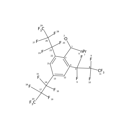 CCCC([O])c1c(C(F)(F)C(F)(F)C(F)(F)F)cc(C(F)(F)C(F)(F)C(F)(F)F)cc1C(F)(F)C(F)(F)C(F)(F)F